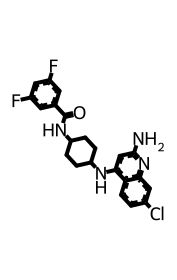 Nc1cc(NC2CCC(NC(=O)c3cc(F)cc(F)c3)CC2)c2ccc(Cl)cc2n1